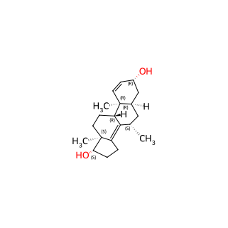 C[C@H]1C[C@@H]2C[C@@H](O)C=C[C@]2(C)[C@H]2CC[C@@]3(C)C(=C12)CC[C@@H]3O